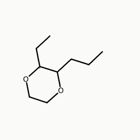 CCCC1OCCO[C]1CC